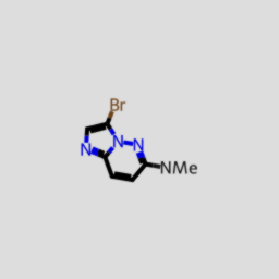 CNc1ccc2ncc(Br)n2n1